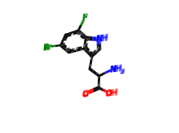 NC(Cc1c[nH]c2c(F)cc(Br)cc12)C(=O)O